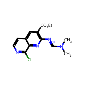 CCOC(=O)c1cc2ccnc(Cl)c2nc1/N=C/N(C)C